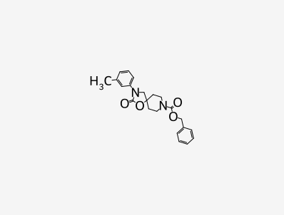 Cc1cccc(N2CC3(CCN(C(=O)OCc4ccccc4)CC3)OC2=O)c1